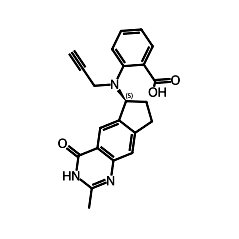 C#CCN(c1ccccc1C(=O)O)[C@H]1CCc2cc3nc(C)[nH]c(=O)c3cc21